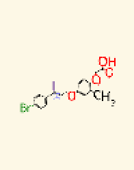 Cc1cc(OC/C=C(\I)c2ccc(Br)cc2)ccc1OCC(=O)O